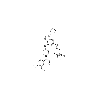 COc1ccc(C(C=O)N2CCC(Nc3nc(NC4CCC(N)CC4)nc4c3ncn4C3CCCC3)CC2)cc1OC.Cl.Cl